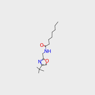 CCCCCCCC(=O)NCc1nc(C(C)(C)C)co1